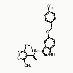 Cc1noc(C)c1C(=O)Nc1c[nH]c2ccc(OCc3ccc(C(F)(F)F)cc3)cc12